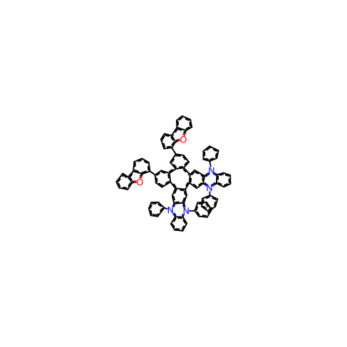 c1ccc(-n2c3ccccc3n(-c3ccccc3)c3cc4c(cc32)c2ccc(-c3cccc5c3oc3ccccc35)cc2c2cc(-c3cccc5c3oc3ccccc35)ccc2c2cc3c(cc24)n(-c2ccccc2)c2ccccc2n3-c2ccccc2)cc1